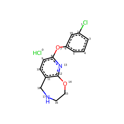 Cl.Clc1cccc(Oc2ccc3c(n2)OCCNC3)c1